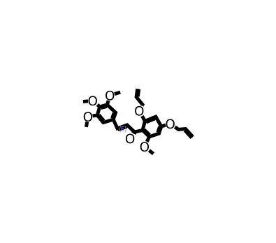 C=CCOc1cc(OC)c(C(=O)/C=C/c2cc(OC)c(OC)c(OC)c2)c(OCC=C)c1